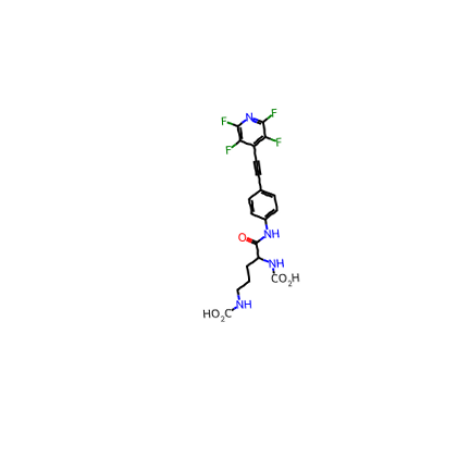 O=C(O)NCCCC(NC(=O)O)C(=O)Nc1ccc(C#Cc2c(F)c(F)nc(F)c2F)cc1